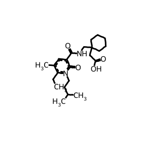 CCc1c(C)cc(C(=O)NCC2(CC(=O)O)CCCCC2)c(=O)n1CCC(C)C